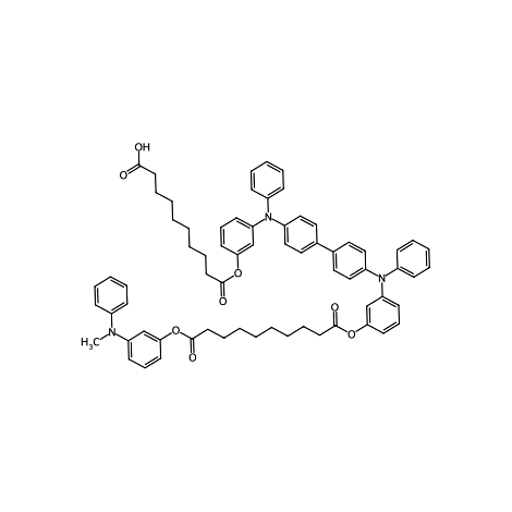 CN(c1ccccc1)c1cccc(OC(=O)CCCCCCCCC(=O)Oc2cccc(N(c3ccccc3)c3ccc(-c4ccc(N(c5ccccc5)c5cccc(OC(=O)CCCCCCCCC(=O)O)c5)cc4)cc3)c2)c1